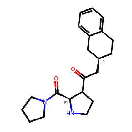 O=C(C[C@@H]1CCc2ccccc2C1)C1CCN[C@H]1C(=O)N1CCCC1